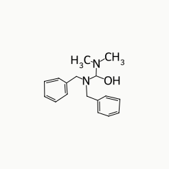 CN(C)C(O)N(Cc1ccccc1)Cc1ccccc1